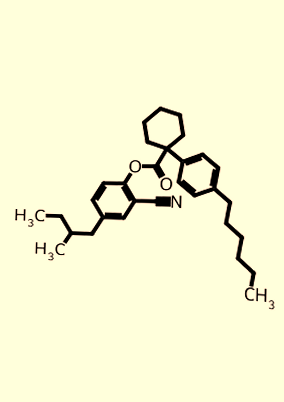 CCCCCCc1ccc(C2(C(=O)Oc3ccc(CC(C)CC)cc3C#N)CCCCC2)cc1